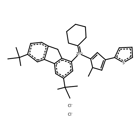 CC1C=C(c2cccs2)C=[C]1[Zr+2](=[C]1CCCCC1)[c]1cc(C(C)(C)C)cc2c1Cc1ccc(C(C)(C)C)cc1-2.[Cl-].[Cl-]